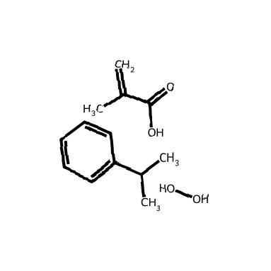 C=C(C)C(=O)O.CC(C)c1ccccc1.OO